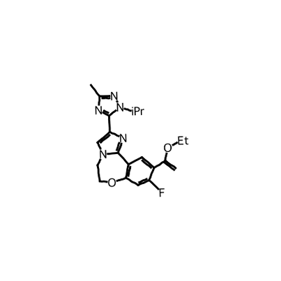 C=C(OCC)c1cc2c(cc1F)OCCn1cc(-c3nc(C)nn3C(C)C)nc1-2